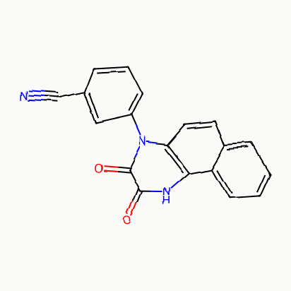 N#Cc1cccc(-n2c(=O)c(=O)[nH]c3c4ccccc4ccc32)c1